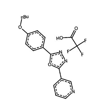 CCCCOc1ccc(-c2nnc(-c3cccnc3)o2)cc1.O=C(O)C(F)(F)F